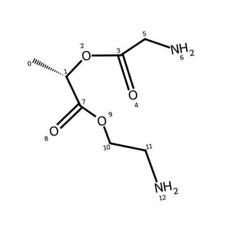 C[C@H](OC(=O)CN)C(=O)OCCN